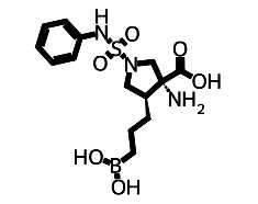 N[C@@]1(C(=O)O)CN(S(=O)(=O)Nc2ccccc2)C[C@@H]1CCCB(O)O